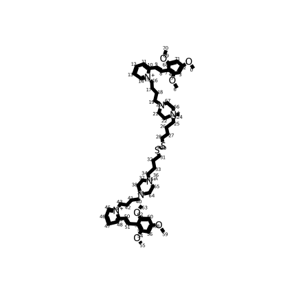 COc1cc(OC)c(/C=C/c2cccc[n+]2CCCCN2CC[N+](C)(CCCCSSCCCC[N+]3(C)CCN(CCCC[n+]4ccccc4/C=C/c4c(OC)cc(OC)cc4OC)CC3)CC2)c(OC)c1